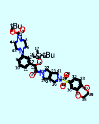 CC(C)(C)OC(=O)N1CCN(c2cccc(C(O[Si](C)(C)C(C)(C)C)C(=O)N3CC4=C(C3)CN(S(=O)(=O)c3ccc5c(c3)OCCO5)C4)c2)CC1